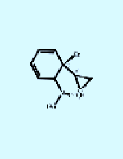 CC[C@]1([C@H]2CO2)C=CC=CC1N(C(=O)O)C(C)(C)C